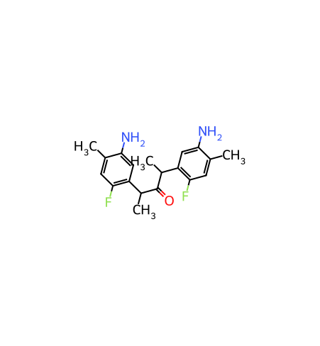 Cc1cc(F)c(C(C)C(=O)C(C)c2cc(N)c(C)cc2F)cc1N